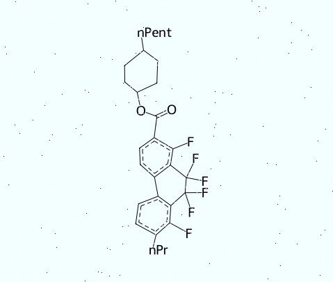 CCCCCC1CCC(OC(=O)c2ccc3c(c2F)C(F)(F)C(F)(F)c2c-3ccc(CCC)c2F)CC1